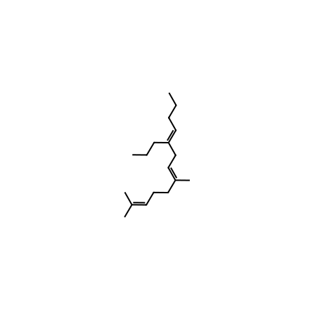 CCC/C=C(/C/C=C(\C)CCC=C(C)C)CCC